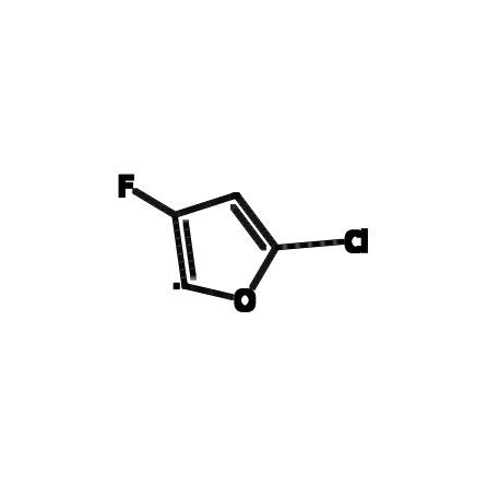 Fc1[c]oc(Cl)c1